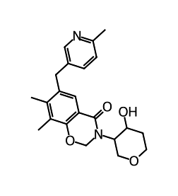 Cc1ccc(Cc2cc3c(c(C)c2C)OCN(C2COCCC2O)C3=O)cn1